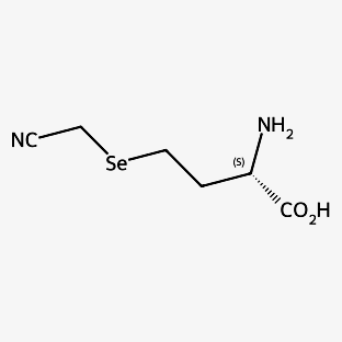 N#CC[Se]CC[C@H](N)C(=O)O